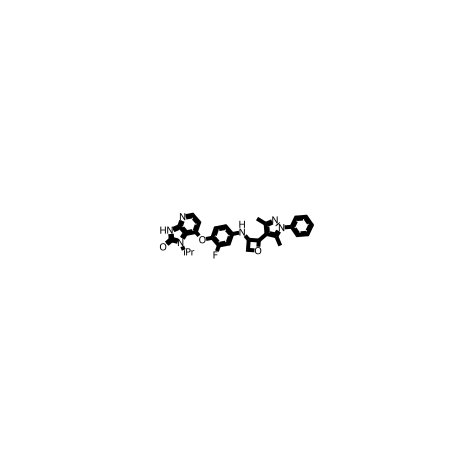 Cc1nn(-c2ccccc2)c(C)c1C1OCC1Nc1ccc(Oc2ccnc3[nH]c(=O)n(C(C)C)c23)c(F)c1